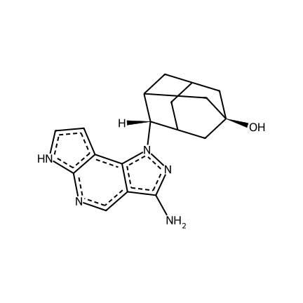 Nc1nn([C@H]2C3CC4CC2C[C@](O)(C4)C3)c2c1cnc1[nH]ccc12